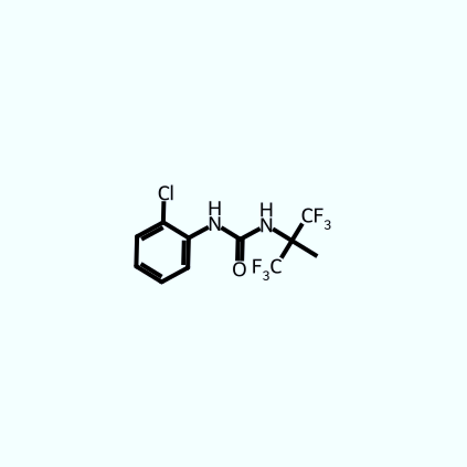 CC(NC(=O)Nc1ccccc1Cl)(C(F)(F)F)C(F)(F)F